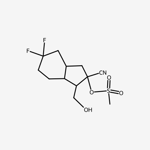 CS(=O)(=O)OC1(C#N)CC2CC(F)(F)CCC2C1CO